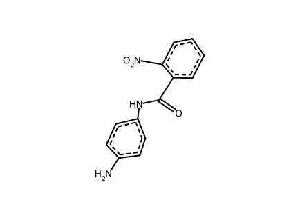 Nc1ccc(NC(=O)c2ccccc2[N+](=O)[O-])cc1